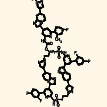 CCCS(=O)(=O)Nc1cc(-c2cnc3cc(-c4cnn(CCCS(=O)(=O)Nc5cc(-c6cnc7cc(-c8cnn(CCCOC(=O)Nc9cc(-c%10cnc%11cc(-c%12cnn(C)c%12)ccn%10%11)cc(-c%10ccc(F)cc%10C)n9)c8)ccn67)cc(-c6ccc(F)cc6F)n5)c4)ccn23)cc(-c2ccc(F)cc2F)n1